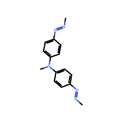 CN=Nc1ccc(N(C)c2ccc(N=NC)cc2)cc1